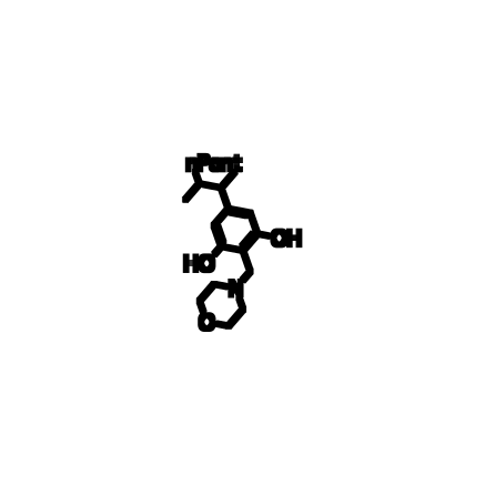 CCCCCC(C)C(C)c1cc(O)c(CN2CCOCC2)c(O)c1